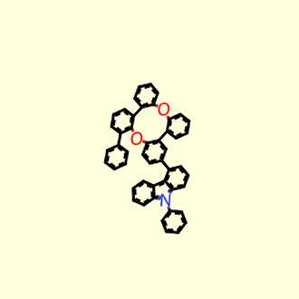 c1ccc(-c2cccc3c2Oc2ccc(-c4cccc5c4c4ccccc4n5-c4ccccc4)cc2-c2ccccc2Oc2ccccc2-3)cc1